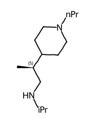 CCCN1CCC([C@H](C)CNC(C)C)CC1